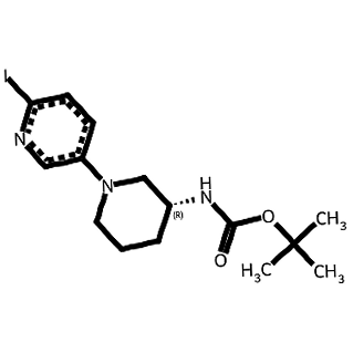 CC(C)(C)OC(=O)N[C@@H]1CCCN(c2ccc(I)nc2)C1